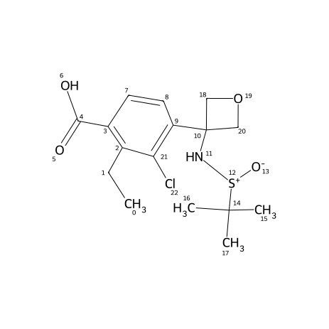 CCc1c(C(=O)O)ccc(C2(N[S+]([O-])C(C)(C)C)COC2)c1Cl